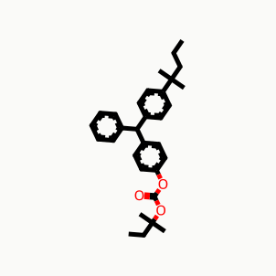 CCCC(C)(C)c1ccc(C(c2ccccc2)c2ccc(OC(=O)OC(C)(C)CC)cc2)cc1